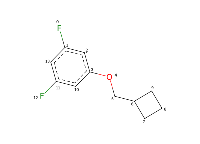 Fc1[c]c(OCC2CCC2)cc(F)c1